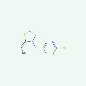 O=[N+]([O-])/C=C1/SCCN1Cc1ccc(Cl)nc1